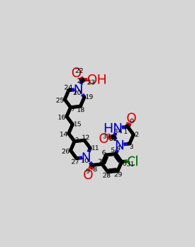 O=C1CCN(c2cc(C(=O)N3CCC(CCCC4CCN(C(=O)O)CC4)CC3)ccc2Cl)C(=O)N1